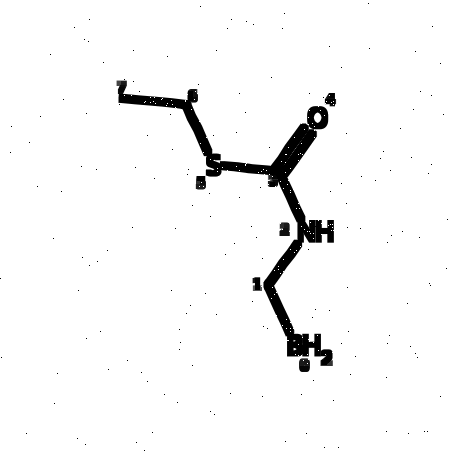 BCNC(=O)SCC